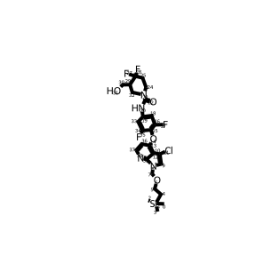 C[Si](C)(C)CCOCn1cc(Cl)c2c(Oc3c(F)cc(NC(=O)N4CCC(F)(F)C(CO)C4)cc3F)ccnc21